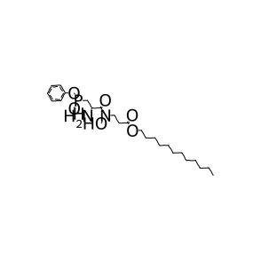 CCCCCCCCCCCCOC(=O)CCN(O)C(=O)[C@H](N)C[PH](=O)Oc1ccccc1